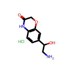 Cl.NCC(O)c1ccc2c(c1)OCC(=O)N2